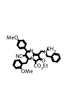 CCOC(=O)C1C(=O)C(CN(C)Cc2ccccc2)=C2N=C(c3ccc(OC)cc3)C(C#N)=C(Cc3ccccc3OC)N21